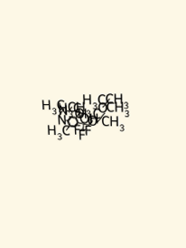 CCN(C)/C=N\c1cc(OC)c(C(O)(COCC(C)(C)COC(C)(C)C)C(F)(F)F)cc1C